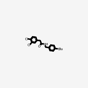 CC(C)(C)c1ccc(CNC(=O)Cc2ccc(Cl)c(Cl)c2)cc1